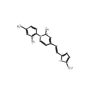 O=[N+]([O-])c1ccc(N2C=CC(C=Cc3ccc(S(=O)(=O)O)o3)=CC2O)c([N+](=O)[O-])c1